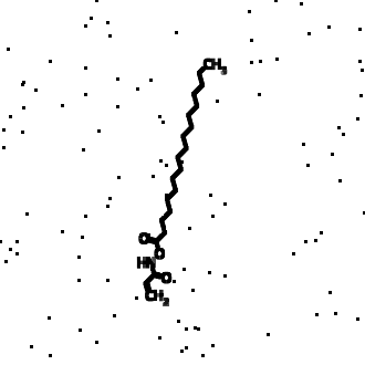 C=CC(=O)NOC(=O)CCCCCCCCCCCCCCCCC